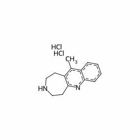 Cc1c2c(nc3ccccc13)CCNCC2.Cl.Cl